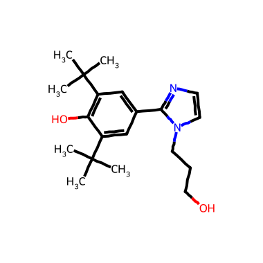 CC(C)(C)c1cc(-c2nccn2CCCO)cc(C(C)(C)C)c1O